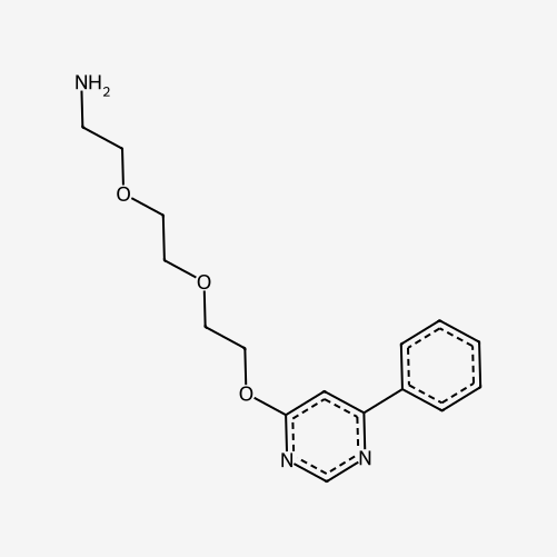 NCCOCCOCCOc1cc(-c2ccccc2)ncn1